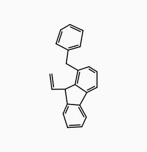 C=CC1c2ccccc2-c2cccc(Cc3ccccc3)c21